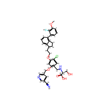 COc1cccc(-c2cccc3c2CCC3CCOc2cc(OCc3cncc(C#N)c3)c(CN[C@@H](CO)C(=O)O)cc2Cl)c1F